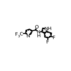 O=C(Nc1c[nH]c2cc(F)c(F)cc12)c1ccc(C(F)(F)F)nc1